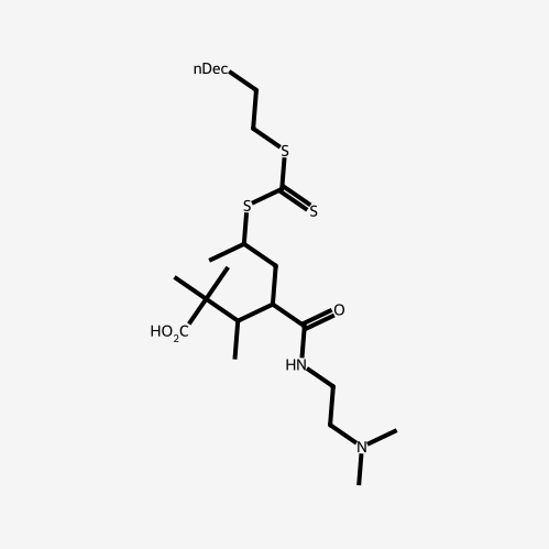 CCCCCCCCCCCCSC(=S)SC(C)CC(C(=O)NCCN(C)C)C(C)C(C)(C)C(=O)O